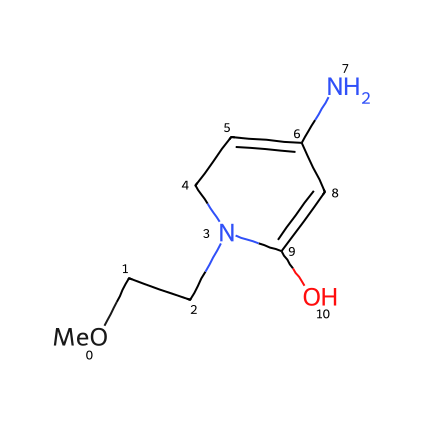 COCCN1CC=C(N)C=C1O